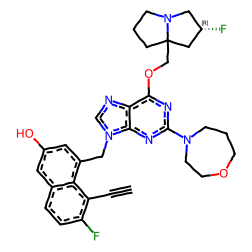 C#Cc1c(F)ccc2cc(O)cc(Cn3cnc4c(OCC56CCCN5C[C@H](F)C6)nc(N5CCCOCC5)nc43)c12